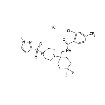 Cl.Cn1ccc(S(=O)(=O)N2CCN(C3(CNC(=O)c4ccc(C(F)(F)F)cc4Cl)CCC(F)(F)CC3)CC2)n1